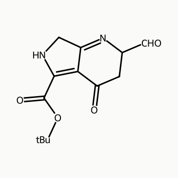 CC(C)(C)OC(=O)C1=C2C(=O)CC(C=O)N=C2CN1